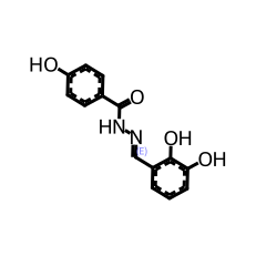 O=C(N/N=C/c1cccc(O)c1O)c1ccc(O)cc1